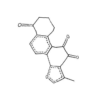 Cc1coc2c1C(=O)C(=O)c1c-2ccc2c1CCCC2=O